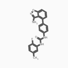 Cc1ccc(F)c(NC(=O)Nc2ccc(-c3cccc4onc(N)c34)cc2)c1